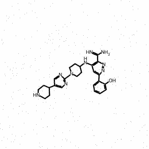 N=C(N)c1nnc(-c2ccccc2O)cc1NC1CCN(c2ncc(C3CCNCC3)cn2)CC1